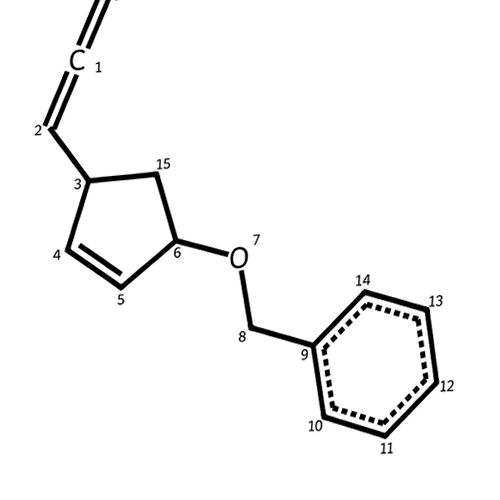 C=C=CC1C=CC(OCc2ccccc2)C1